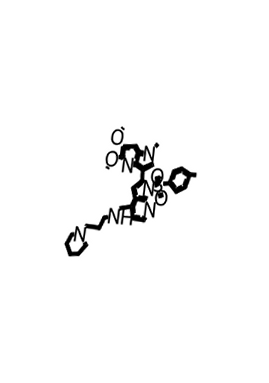 COc1cc2c(nc1OC)c(-c1cc3c(CNCCCN4CCCCC4)ccnc3n1S(=O)(=O)c1ccc(C)cc1)cn2C